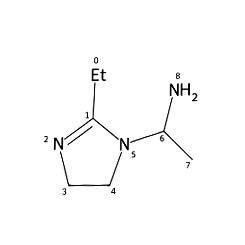 CCC1=NCCN1C(C)N